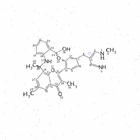 CN/C=C(\C=N)Cc1ccc(-c2oc3c([C@@H](C)Nc4ccccc4C(=O)O)cc(C)cc3c(=O)c2C)cc1